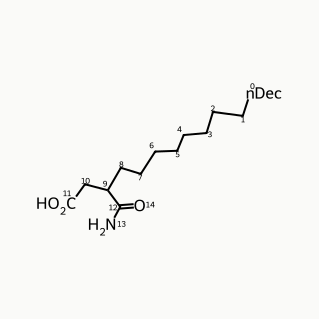 CCCCCCCCCCCCCCCCCCC(CC(=O)O)C(N)=O